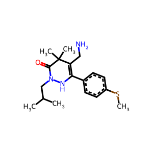 CSc1ccc(C2=C(CN)C(C)(C)C(=O)N(CC(C)C)N2)cc1